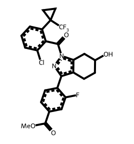 COC(=O)c1ccc(-c2nn(C(=O)c3c(Cl)cccc3C3(C(F)(F)F)CC3)c3c2CCC(O)C3)c(F)c1